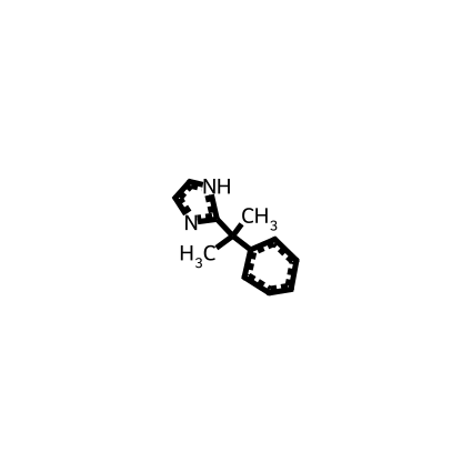 CC(C)(c1ccccc1)c1ncc[nH]1